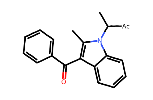 CC(=O)C(C)n1c(C)c(C(=O)c2ccccc2)c2ccccc21